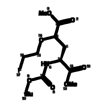 COC(=O)C(C[C@H](NC(=O)OC(C)(C)C)C(=O)OC)OCCF